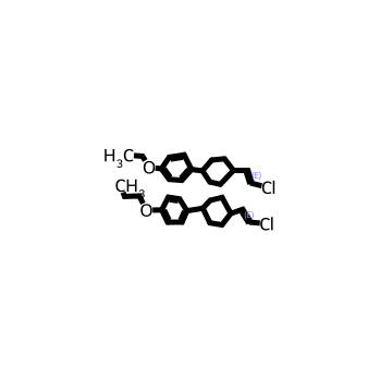 CCCOc1ccc(C2CCC(/C=C/Cl)CC2)cc1.CCOc1ccc(C2CCC(/C=C/Cl)CC2)cc1